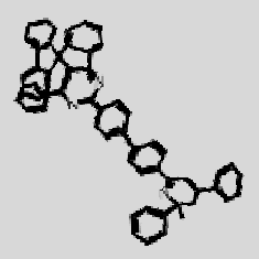 CC1(c2ccccc2)CC(c2ccccc2)=CC(c2ccc(-c3ccc(-c4nc(-c5ccccc5)c5c(n4)-c4ccccc4C54c5ccccc5-c5ccccc54)cc3)cc2)=N1